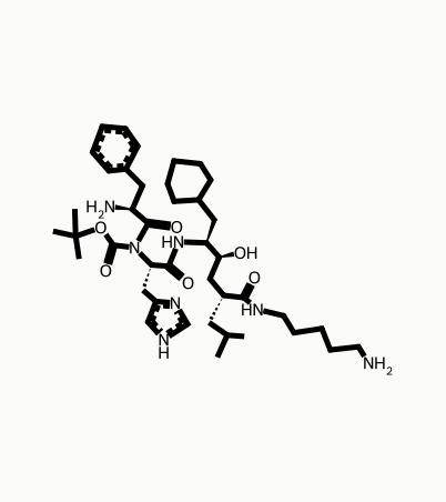 CC(C)C[C@H](C[C@H](O)[C@H](CC1CCCCC1)NC(=O)[C@H](Cc1c[nH]cn1)N(C(=O)OC(C)(C)C)C(=O)[C@@H](N)Cc1ccccc1)C(=O)NCCCCCN